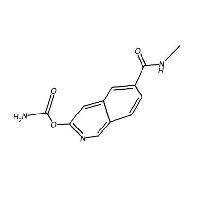 CNC(=O)c1ccc2cnc(OC(N)=O)cc2c1